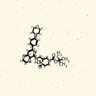 CC(C)(C)OC(=O)N1CCS(=O)(=O)C(CNc2nc(-c3ccc(N4CCOCC4)cc3)cc3nccnc23)C1